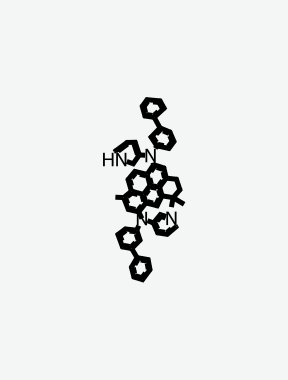 Cc1cc(N(c2cccnc2)c2cccc(-c3ccccc3)c2)c2cc3c4c(cc(N(C5=CC=CNC5)c5cccc(-c6ccccc6)c5)c5ccc1c2c54)CCC3(C)C